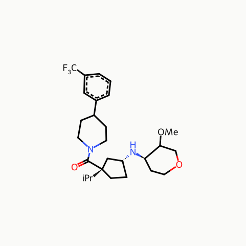 COC1COCC[C@H]1N[C@@H]1CC[C@@](C(=O)N2CCC(c3cccc(C(F)(F)F)c3)CC2)(C(C)C)C1